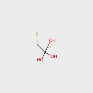 OC(O)(O)C[S]